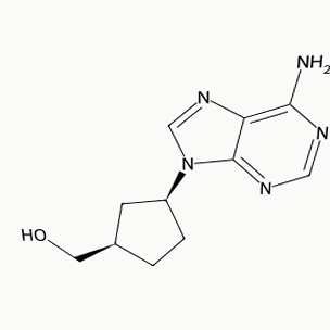 Nc1ncnc2c1ncn2[C@H]1CC[C@@H](CO)C1